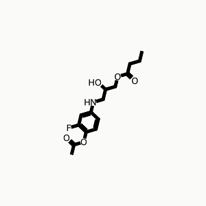 CCCC(=O)OCC(O)CNc1ccc(OC(C)=O)c(F)c1